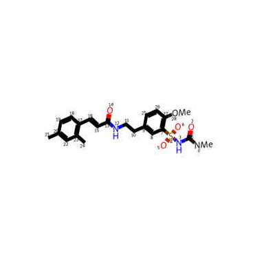 CNC(=O)NS(=O)(=O)c1cc(CCNC(=O)C=Cc2ccc(C)cc2C)ccc1OC